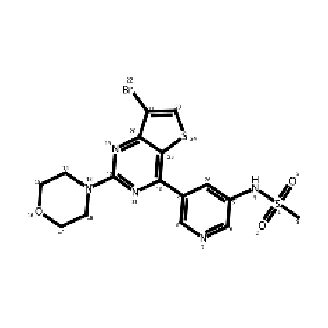 CS(=O)(=O)Nc1cncc(-c2nc(N3CCOCC3)nc3c(Br)csc23)c1